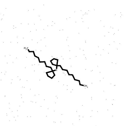 CCCCCCCCCC1(SC2(CCCCCCCCC)CCCC2)CCCC1